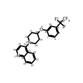 FC(F)(F)C(F)(F)c1cccc(OC2CCN(c3ccnc4ccc[c]c34)CC2)c1